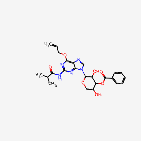 C=CCOc1nc(NC(=O)C(C)C)nc2c1ncn2C1OCC(O)C(OC(=O)c2ccccc2)C1O